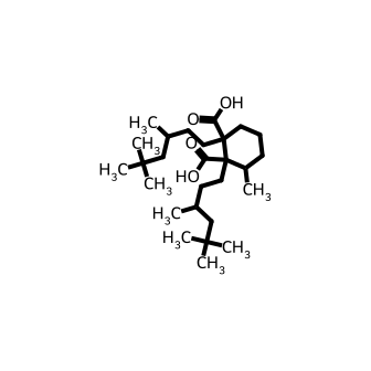 CC(CCC1(C(=O)O)CCCC(C)C1(CCC(C)CC(C)(C)C)C(=O)O)CC(C)(C)C